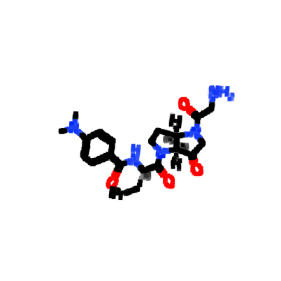 CC(C)C[C@H](NC(=O)c1ccc(N(C)C)cc1)C(=O)N1CC[C@@H]2[C@H]1C(=O)CN2C(=O)CN